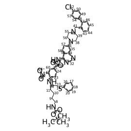 CC(C)(C)OC(=O)NCCCC[C@H](CSc1ccccc1)Nc1ccc(S(=O)(=O)Nc2ncnc3cc(N4CCN(Cc5ccccc5-c5ccc(Cl)cc5)CC4)ccc23)cc1[N+](=O)[O-]